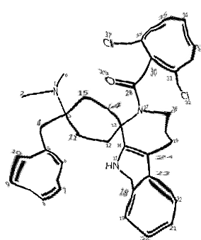 CN(C)C1(Cc2ccccc2)CCC2(CC1)c1[nH]c3ccccc3c1CCN2C(=O)c1c(Cl)cccc1Cl